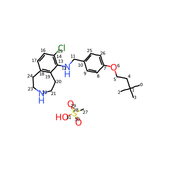 CC(C)(C)CCOc1ccc(CNc2c(Cl)ccc3c2CCNCC3)cc1.CS(=O)(=O)O